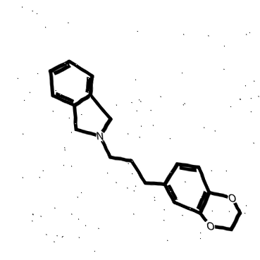 c1ccc2c(c1)CN(CCCc1ccc3c(c1)OCCO3)C2